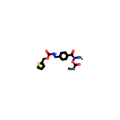 COC(=O)ON(C)C(=O)c1ccc(CNC(=O)OCc2cccs2)cc1